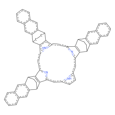 c1ccc2cc3c(cc2c1)C1CCC3C2=C1c1cc3ccc(cc4nc(cc5[nH]c(cc2n1)c1c5C2CCC1c1cc5ccccc5cc12)C1=C4C2CCC1c1cc4ccccc4cc12)[nH]3